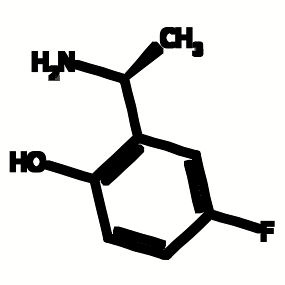 C[C@H](N)c1cc(F)ccc1O